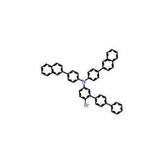 Brc1ccc(N(c2ccc(-c3ccc4ccccc4c3)cc2)c2ccc(-c3ccc4ccccc4c3)cc2)cc1-c1ccc(-c2ccccc2)cc1